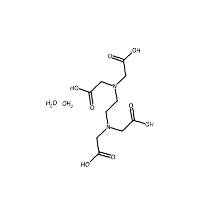 O.O.O=C(O)CN(CCN(CC(=O)O)CC(=O)O)CC(=O)O